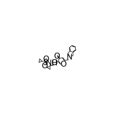 O=c1cc(CN2Cc3ccccc3C2)occ1OCC1(NS(=O)(=O)C2CC2)CC1